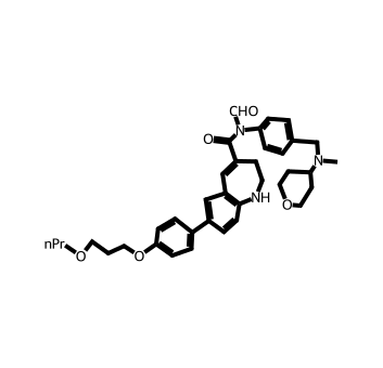 CCCOCCCOc1ccc(-c2ccc3c(c2)C=C(C(=O)N(C=O)c2ccc(CN(C)C4CCOCC4)cc2)CCN3)cc1